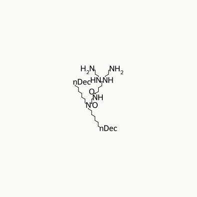 CCCCCCCCCCCCCCCCCN(CCCCCCCCCCCCCCCCC)C(=O)CNC(=O)CCCC(NCCCN)NCCCN